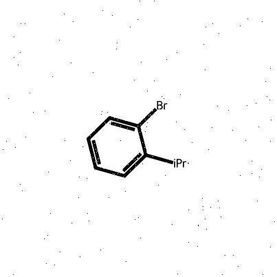 C[C](C)c1ccccc1Br